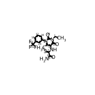 CCn1c(=O)c(NC(=S)C(N)=O)c(C)n(-c2cccc(C(F)(F)F)c2)c1=O